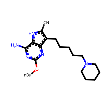 CCCCOc1nc(N)c2[nH]c(C#N)c(CCCCCN3CCCCC3)c2n1